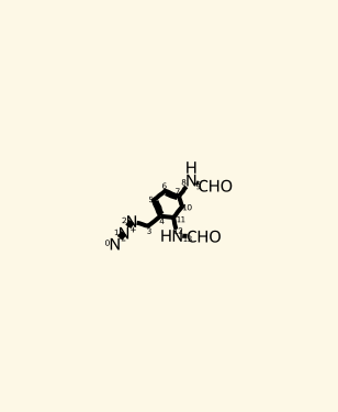 [N-]=[N+]=NCC1=CC=C(NC=O)CC1NC=O